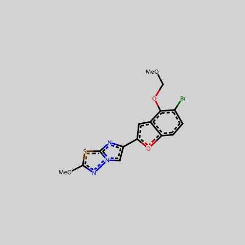 COCOc1c(Br)ccc2oc(-c3cn4nc(OC)sc4n3)cc12